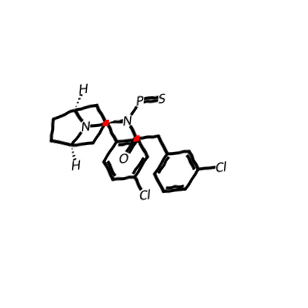 O=C(Cc1cccc(Cl)c1)N(P=S)[C@H]1C[C@H]2CC[C@@H](C1)N2Cc1ccc(Cl)cc1